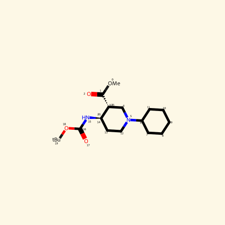 COC(=O)[C@@H]1CN(C2CCCCC2)CC[C@H]1NC(=O)OC(C)(C)C